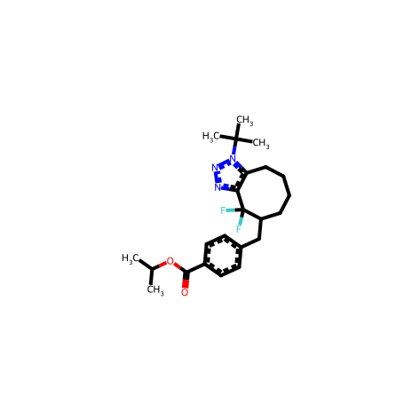 CC(C)OC(=O)c1ccc(CC2CCCCc3c(nnn3C(C)(C)C)C2(F)F)cc1